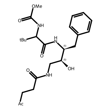 COC(=O)NC(C(=O)N[C@@H](Cc1ccccc1)[C@@H](O)CNC(=O)CCC(C)=O)C(C)(C)C